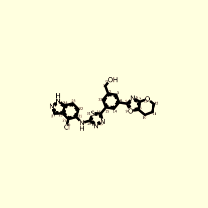 OCc1cc(-c2nc3c(o2)CCCO3)cc(-c2nnc(Nc3ccc4[nH]ncc4c3Cl)s2)c1